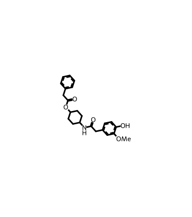 COc1cc(CC(=O)NC2CCC(OC(=O)Cc3ccccc3)CC2)ccc1O